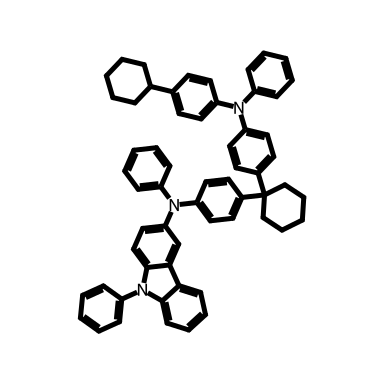 c1ccc(N(c2ccc(C3CCCCC3)cc2)c2ccc(C3(c4ccc(N(c5ccccc5)c5ccc6c(c5)c5ccccc5n6-c5ccccc5)cc4)CCCCC3)cc2)cc1